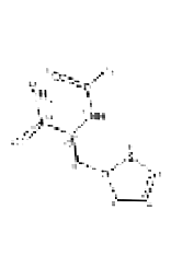 CC(=O)N[C@@H](CC1CC=CS1)C(N)=O